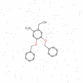 N#CCc1cc(OCc2ccccc2)c(OCc2ccccc2)cc1[N+](=O)[O-]